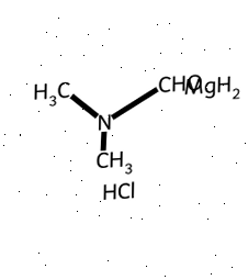 CN(C)C=O.Cl.[MgH2]